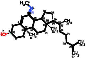 C/N=C1\C=C2C[C@@H](O)CC[C@]2(C)C2CC[C@@]3(C)C(CC[C@@H]3[C@H](C)CCCC(C)C)C12